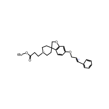 CC(C)(C)OC(=O)CCN1CCC2(CC1)COc1cc(OC/C=C/c3ccccc3)ccc12